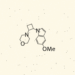 COc1ccc2c(ccn2C2CCC2N2CCOCC2)c1